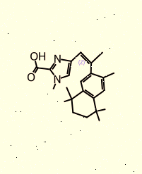 C/C(=C/c1cn(C)c(C(=O)O)n1)c1cc2c(cc1C)C(C)(C)CCC2(C)C